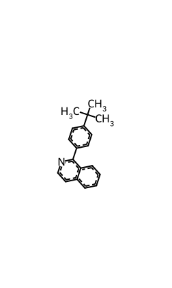 CC(C)(C)c1ccc(-c2nccc3ccccc23)cc1